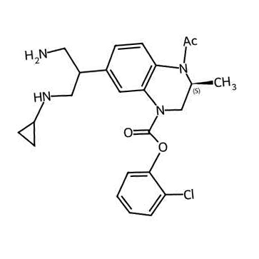 CC(=O)N1c2ccc(C(CN)CNC3CC3)cc2N(C(=O)Oc2ccccc2Cl)C[C@@H]1C